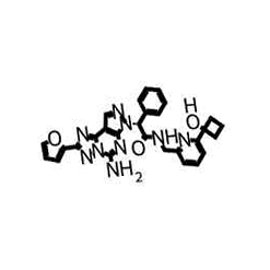 Nc1nc2c(cnn2[C@@H](C(=O)NCc2cccc(C3(O)CCC3)n2)c2ccccc2)c2nc(-c3ccco3)nn12